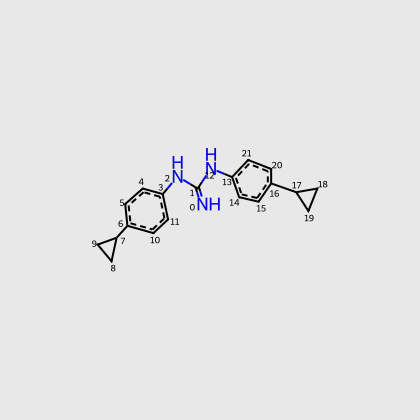 N=C(Nc1ccc(C2CC2)cc1)Nc1ccc(C2CC2)cc1